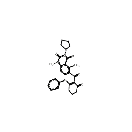 Cc1c(C(=O)C2=C(Sc3ccccc3)CCCC2=O)ccc2c1c(=O)n(C1CCCC1)c(=O)n2C